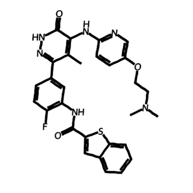 Cc1c(-c2ccc(F)c(NC(=O)c3cc4ccccc4s3)c2)n[nH]c(=O)c1Nc1ccc(OCCN(C)C)cn1